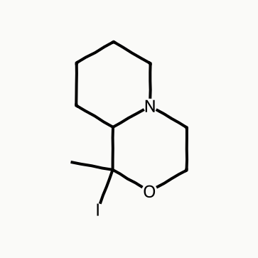 CC1(I)OCCN2CCCCC21